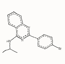 CC(C)Nc1nc(-c2ccc(Br)cc2)nc2ccccc12